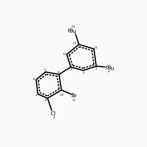 CC(C)(C)c1cc(-c2cccc(Cl)c2Br)cc(C(C)(C)C)c1